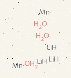 O.O.O.[LiH].[LiH].[LiH].[Mn].[Mn]